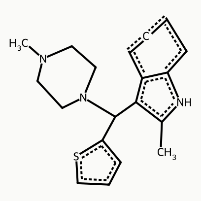 Cc1[nH]c2ccccc2c1C(c1cccs1)N1CCN(C)CC1